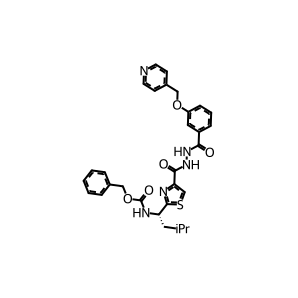 CC(C)C[C@H](NC(=O)OCc1ccccc1)c1nc(C(=O)NNC(=O)c2cccc(OCc3ccncc3)c2)cs1